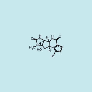 CN1C(=O)N[C@H]2[C@@H]3NC(=O)c4ccc(Br)n4[C@@H]3C[C@]21O